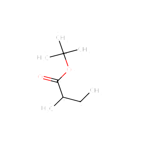 [CH2]C(CC)C(=O)OC(C)(C)C